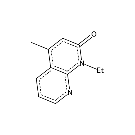 CCn1c(=O)cc(C)c2cccnc21